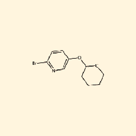 Brc1ccc(OC2CCCCO2)cn1